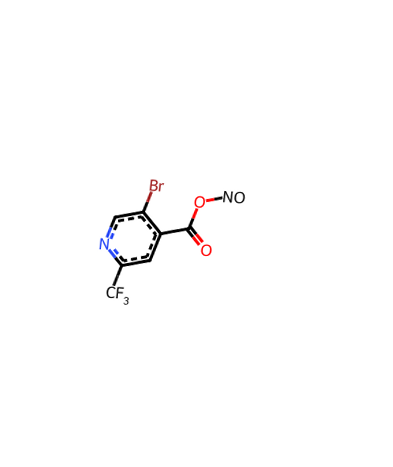 O=NOC(=O)c1cc(C(F)(F)F)ncc1Br